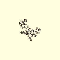 CCn1cnc2ccc(C3CCN(C(=O)C4C(C(=O)NO)CC5(CC5)CN4C(=O)OC4CCOCC4)CC3)cc21